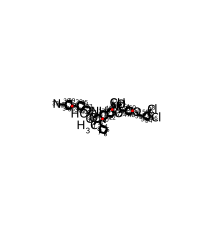 CCC(c1ccccc1)N1Cc2cc3c(cc2CC1C(=O)NC(Cc1ccc(-c2ccc(C#N)cc2)cc1)C(=O)O)N(C)C(=O)C(c1ccc(OCc2ccc(Cl)c(Cl)c2)cc1)O3